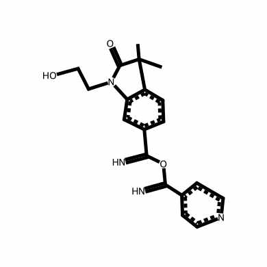 CC1(C)C(=O)N(CCO)c2cc(C(=N)OC(=N)c3ccncc3)ccc21